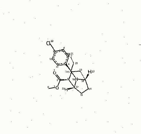 COC(=O)[C@H]1[C@@H](c2ccc(Cl)cc2)C[C@@H]2CC[C@H]1N2CC[18F]